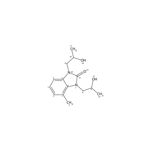 Cc1cccc2c1n(CC(C)O)c(=O)n2CC(C)O